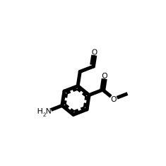 COC(=O)c1ccc(N)cc1CC=O